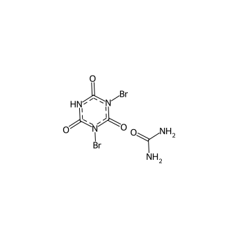 NC(N)=O.O=c1[nH]c(=O)n(Br)c(=O)n1Br